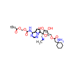 C=NC[C@@]1(c2ccc3c(NC(=O)OCOC(=O)C(C)(C)C)ncnn23)O[C@H](COC(=O)CC2(N)CCCCC2)[C@@H](O)[C@H]1O